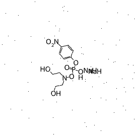 O=[N+]([O-])c1ccc(OP(=O)(O)ON(CCO)CCO)cc1.[NaH].[NaH]